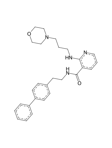 O=C(NCCc1ccc(-c2ccccc2)cc1)c1cccnc1NCCCN1CCOCC1